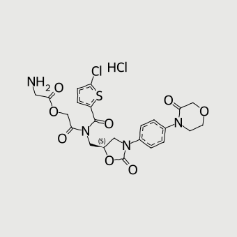 Cl.NCC(=O)OCC(=O)N(C[C@H]1CN(c2ccc(N3CCOCC3=O)cc2)C(=O)O1)C(=O)c1ccc(Cl)s1